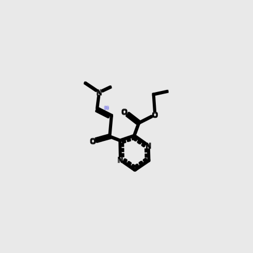 CCOC(=O)c1nccnc1C(=O)/C=C/N(C)C